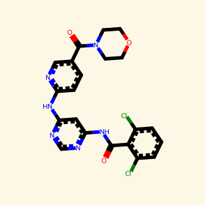 O=C(Nc1cc(Nc2ccc(C(=O)N3CCOCC3)cn2)ncn1)c1c(Cl)cccc1Cl